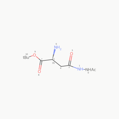 CC(=O)NNC(=O)C[C@H](N)C(=O)OC(C)(C)C